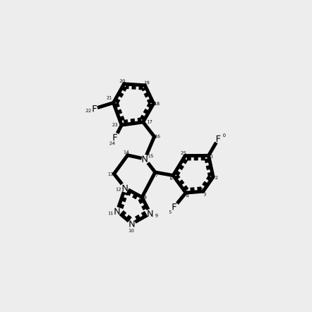 Fc1ccc(F)c(C2c3nnnn3CCN2Cc2cccc(F)c2F)c1